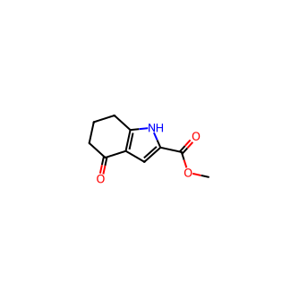 COC(=O)c1cc2c([nH]1)CCCC2=O